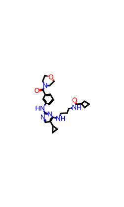 O=C(NCCCNc1nc(Nc2cccc(C(=O)N3CCOCC3)c2)ncc1C1CC1)C1CCC1